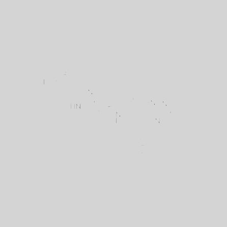 CC(C)(C)c1nnc2c(C(=O)NCCc3nc4ccc(F)cc4[nH]3)cc(F)cn12